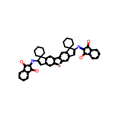 O=c1c(=NC2=Cc3cc4sc5cc6c(cc5c4cc3C23CCCCC3)C2(CCCCC2)C(N=c2c(=O)c3ccccc3c2=O)=C6)c(=O)c2ccccc12